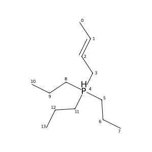 CC=CC[PH](CCC)(CCC)CCC